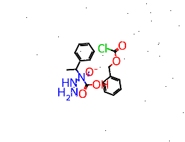 CC(c1ccccc1)[N+]([O-])(NN)C(=O)O.O=C(Cl)OCc1ccccc1